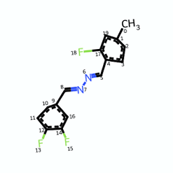 Cc1ccc(/C=N/N=C/c2ccc(F)c(F)c2)c(F)c1